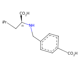 CC(C)C[C@H](NCc1ccc(C(=O)O)cc1)C(=O)O